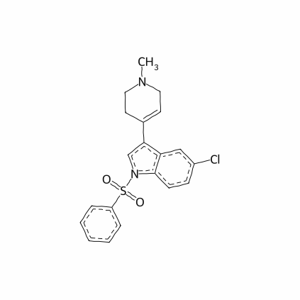 CN1CC=C(c2cn(S(=O)(=O)c3ccccc3)c3ccc(Cl)cc23)CC1